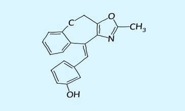 Cc1nc2c(o1)CCc1ccccc1/C2=C\c1cccc(O)c1